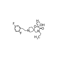 CCN1CC2(CCN(CCc3cc(F)ccc3F)CC2)OC(C)(O)C1=O